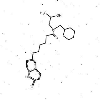 CC(O)CN(CC1CCCCC1)C(=O)CCCCOc1ccc2[nH]c(=O)ccc2c1